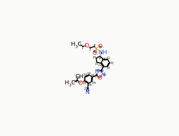 CCOCCS(=O)(=O)N[C@H]1CCc2c(-c3noc(-c4ccc(OC(C)C)c(C#N)c4)n3)cccc21